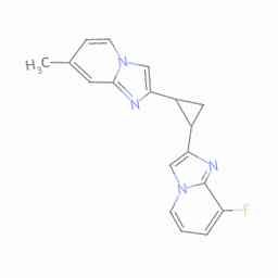 Cc1ccn2cc(C3CC3c3cn4cccc(F)c4n3)nc2c1